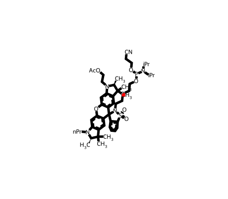 CCCN1c2cc3c(cc2C(C)(C)[C@@H]1C)C1(c2cc4c(cc2O3)N(CCOC(C)=O)[C@@H](C)C4(C)C)c2ccccc2S(=O)(=O)N1CCOCCOP(OCCC#N)N(C(C)C)C(C)C